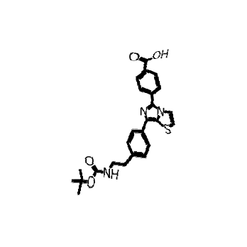 CC(C)(C)OC(=O)NCCc1ccc(-c2nc(-c3ccc(C(=O)O)cc3)n3ccsc23)cc1